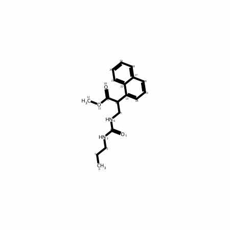 CCCNC(=O)NCC(C(=O)OC)c1cccc2ccccc12